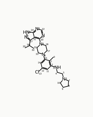 Cc1c(NCCN2CCCC2)cc(Cl)cc1N1CCN(c2ncnc3[nH]nc(C(C)C)c23)CC1